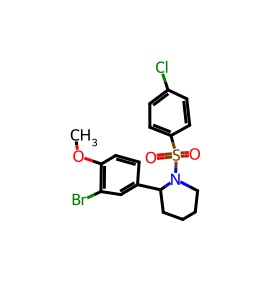 COc1ccc(C2CCCCN2S(=O)(=O)c2ccc(Cl)cc2)cc1Br